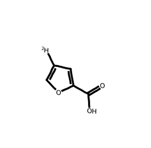 [2H]c1coc(C(=O)O)c1